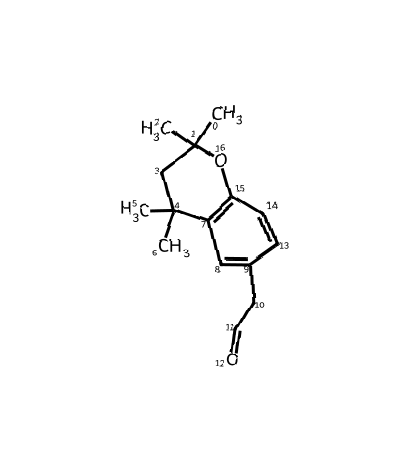 CC1(C)CC(C)(C)c2cc(CC=O)ccc2O1